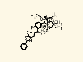 CCOP(=O)(OCC)C(c1ccc(F)c(C(=O)CCc2nc(-c3ccccc3)sc2C)c1)[P]1(O)N(C)CC(C)(C)CN1C